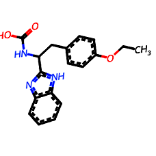 CCOc1ccc(CC(NC(=O)O)c2nc3ccccc3[nH]2)cc1